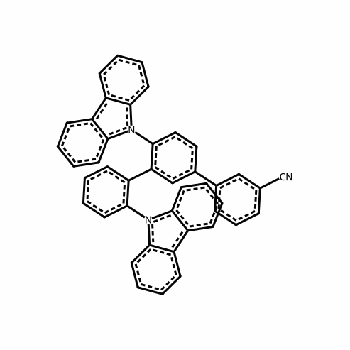 N#Cc1cccc(-c2ccc(-n3c4ccccc4c4ccccc43)c(-c3ccccc3-n3c4ccccc4c4ccccc43)c2)c1